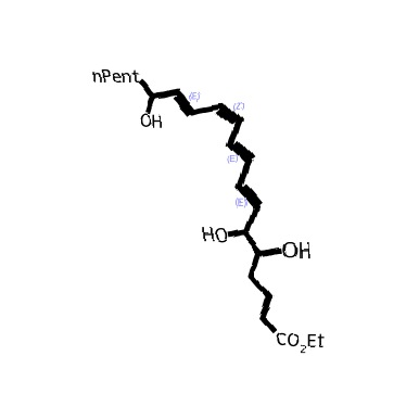 CCCCCC(O)/C=C/C=C\C=C\C=C\C(O)C(O)CCCC(=O)OCC